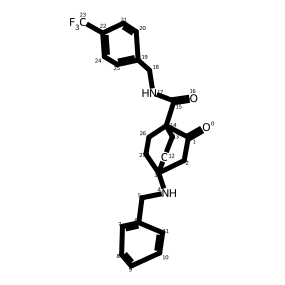 O=C1CC2(NCc3ccccc3)CCC1(C(=O)NCc1ccc(C(F)(F)F)cc1)CC2